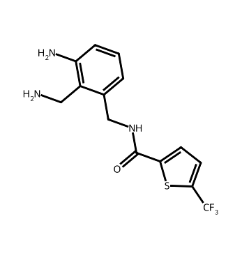 NCc1c(N)cccc1CNC(=O)c1ccc(C(F)(F)F)s1